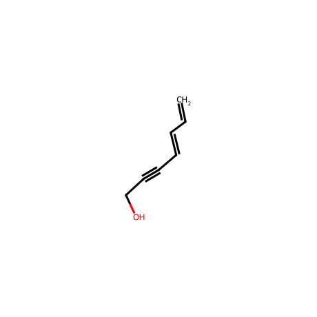 C=CC=CC#CCO